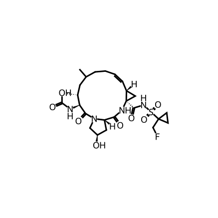 CC1CCC=C[C@@H]2C[C@@]2(C(=O)NS(=O)(=O)C2(CF)CC2)NC(=O)[C@@H]2C[C@@H](O)CN2C(=O)[C@@H](NC(=O)O)[C@H](C)C1